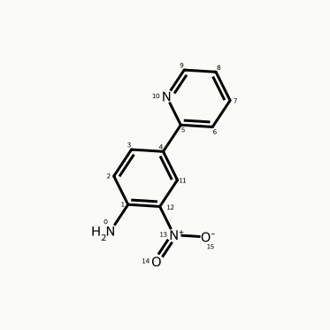 Nc1ccc(-c2ccccn2)cc1[N+](=O)[O-]